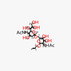 C=CCO[C@H]1OC(CO[C@]2(C)C[C@@H](O)[C@@H](NC(C)=O)C([C@H](O)[C@H](O)CO)O2)[C@H](O)[C@H](O)C1NC(C)=O